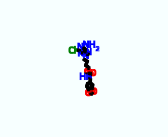 Nc1nc(Cl)nc2c1ncn2CCCCOC(=O)NCc1ccc2c(c1)OCO2